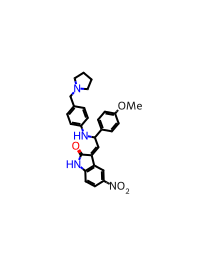 COc1ccc(C(C=C2C(=O)Nc3ccc([N+](=O)[O-])cc32)Nc2ccc(CN3CCCC3)cc2)cc1